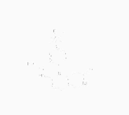 C[C@@H](Nc1ncc2c[nH]c(=O)cc2n1)c1cccc(S(F)(F)(F)(F)F)c1